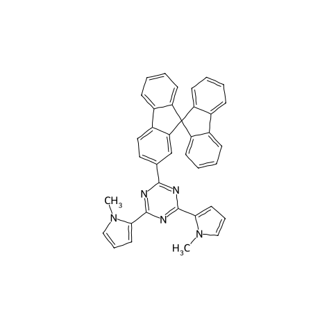 Cn1cccc1-c1nc(-c2ccc3c(c2)C2(c4ccccc4-c4ccccc42)c2ccccc2-3)nc(-c2cccn2C)n1